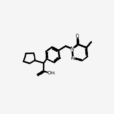 C=C(O)C(c1ccc(Cn2nccc(C)c2=O)cc1)C1CCCC1